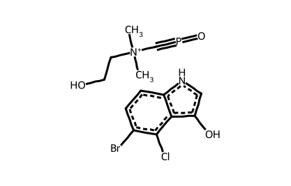 C[N+](C)(C#P=O)CCO.Oc1c[nH]c2ccc(Br)c(Cl)c12